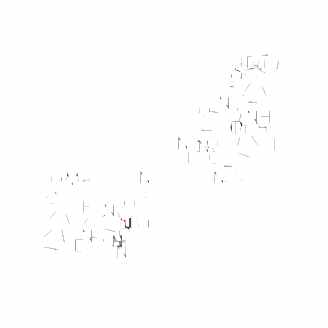 CCc1cccc2cc(OCOC)cc(-c3ncc4c(N5CC6CCC(C5)N6C(=O)OC(C)(C)C)nc(OCC5(CN6CCC(CC7CN(c8cc(C(C(=O)N9C[C@H](O[Si](c%10ccccc%10)(c%10ccccc%10)C(C)(C)C)C[C@H]9C(=O)N[C@@H](C)c9ccc(-c%10scnc%10C)cc9)C(C)C)on8)C7)CC6)CC5)nc4c3F)c12